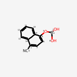 N#Cc1ccc(OB(O)O)c2ccccc12